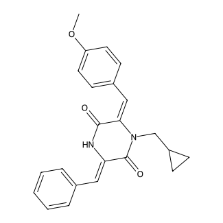 COc1ccc(C=c2c(=O)[nH]c(=Cc3ccccc3)c(=O)n2CC2CC2)cc1